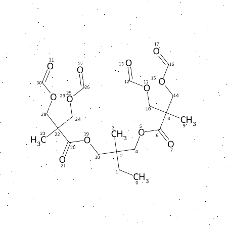 CCC(C)(COC(=O)C(C)(COC=O)COC=O)COC(=O)C(C)(COC=O)COC=O